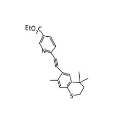 CCOC(=O)c1ccc(C#Cc2cc3c(cc2C)SCCC3(C)C)nc1